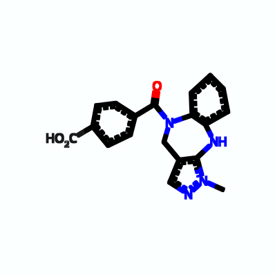 Cn1ncc2c1Nc1ccccc1N(C(=O)c1ccc(C(=O)O)cc1)C2